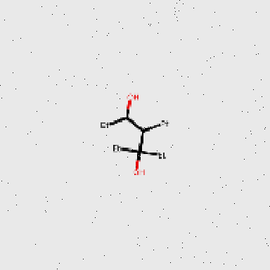 CCC(O)C(CC)C(O)(CC)CC